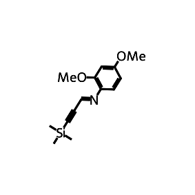 COc1ccc(N=CC#C[Si](C)(C)C)c(OC)c1